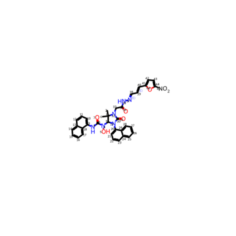 CC1(C)C(N(O)C(=O)Nc2cccc3ccccc23)N(c2cccc3ccccc23)C(=O)N1CC(=O)N/N=C/C=C/c1ccc([N+](=O)[O-])o1